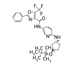 CC(C)(C)[Si](C)(C)O[C@@H]1CC[C@@H](Nc2ccc(NC(=O)c3nc(-c4ccccc4)oc3C(F)(F)F)cn2)C1